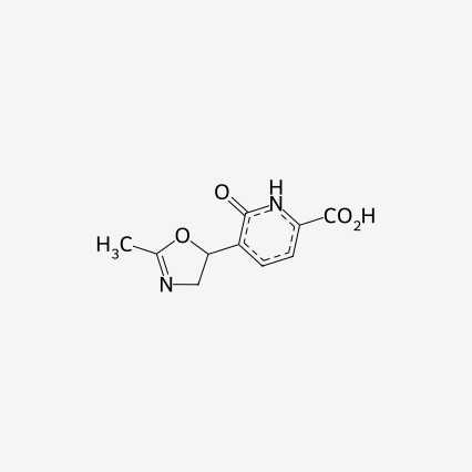 CC1=NCC(c2ccc(C(=O)O)[nH]c2=O)O1